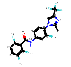 Cc1nc(C(F)(F)F)cn1-c1ccc(NC(=O)c2c(F)ccc(F)c2F)cc1F